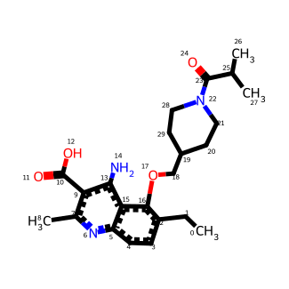 CCc1ccc2nc(C)c(C(=O)O)c(N)c2c1OCC1CCN(C(=O)C(C)C)CC1